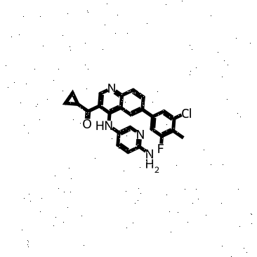 Cc1c(F)cc(-c2ccc3ncc(C(=O)C4CC4)c(Nc4ccc(N)nc4)c3c2)cc1Cl